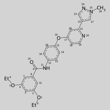 CCOc1cc(OCC)cc(C(=O)Nc2ccc(Oc3ccnc(-c4cnn(C)c4)c3)cc2)c1